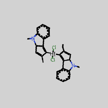 CC1=CC2C(=[C]1[Hf]([Cl])([Cl])[C]1=C3c4ccccc4N(C)C3C=C1C)c1ccccc1N2C